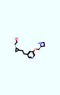 OCC[C@H]1CC1CCc1cncc(OC[C@@H]2CCN2)c1